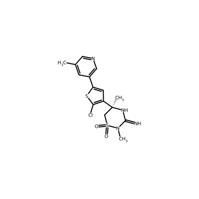 Cc1cncc(-c2cc([C@]3(C)CS(=O)(=O)N(C)C(=N)N3)c(Cl)s2)c1